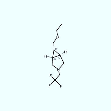 CCOC[C@@H]1[C@H]2CN(CC(F)(F)F)C[C@@H]12